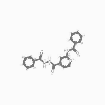 O=C(NNC(=O)c1ccnc(NC(=O)c2ccccc2)c1)c1ccccc1